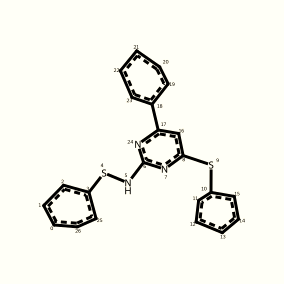 c1ccc(SNc2nc(Sc3ccccc3)cc(-c3ccccc3)n2)cc1